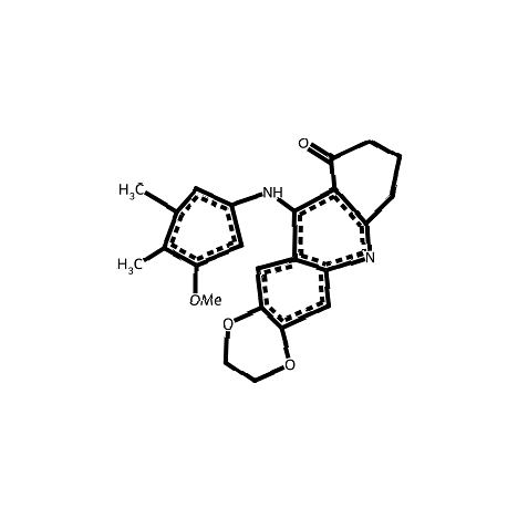 COc1cc(Nc2c3c(nc4cc5c(cc24)OCCO5)CCCC3=O)cc(C)c1C